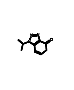 CC(C)n1nnc2c1C=CCC2=O